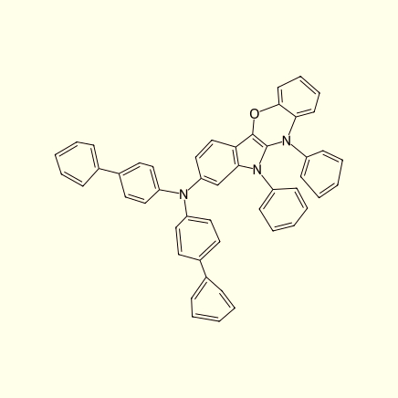 c1ccc(-c2ccc(N(c3ccc(-c4ccccc4)cc3)c3ccc4c5c(n(-c6ccccc6)c4c3)N(c3ccccc3)c3ccccc3O5)cc2)cc1